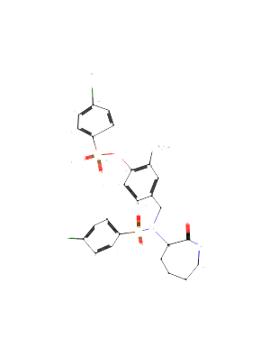 COc1cc(CN(C2CCCCNC2=O)S(=O)(=O)c2ccc(Cl)cc2)ccc1OS(=O)(=O)c1ccc(Cl)cc1